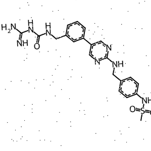 CS(=O)(=O)Nc1ccc(CNc2ncc(-c3cccc(CNC(=O)NC(=N)N)c3)cn2)cc1